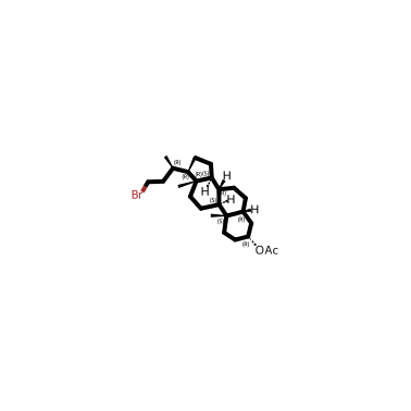 CC(=O)O[C@@H]1CC[C@@]2(C)[C@H](CC[C@@H]3[C@@H]2CC[C@]2(C)[C@@H]([C@H](C)CCBr)CC[C@@H]32)C1